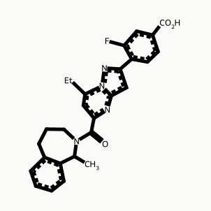 CCc1cc(C(=O)N2CCCc3ccccc3C2C)nc2cc(-c3ccc(C(=O)O)cc3F)nn12